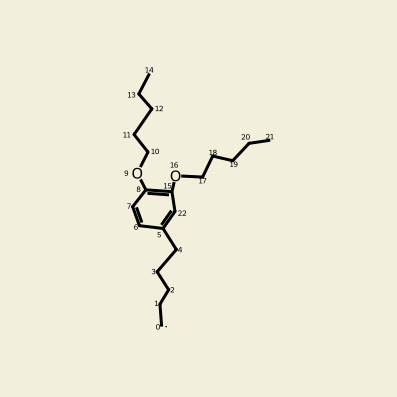 [CH2]CCCCc1ccc(OCCCCC)c(OCCCCC)c1